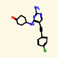 Nc1ncc(C#Cc2ccc(Cl)cc2)c(NC2CCC(=O)CC2)n1